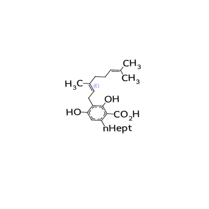 CCCCCCCc1cc(O)c(C/C=C(\C)CCC=C(C)C)c(O)c1C(=O)O